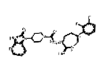 N=C1NC[C@H](c2cccc(F)c2F)CC[C@H]1NC(=O)N1CCC(n2c(=O)[nH]c3ncccc32)CC1